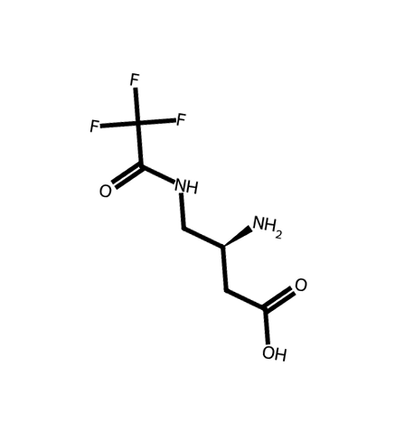 N[C@H](CNC(=O)C(F)(F)F)CC(=O)O